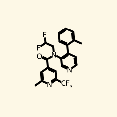 Cc1cc(C(=O)N(CC(F)F)c2cnccc2-c2ccccc2C)cc(C(F)(F)F)n1